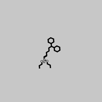 CCCO[SiH](C=CCCCC(C1CCCCC1)C1CCCCC1)OCCC